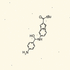 CC(C)(C)C(=O)c1cc2cc(NC(O)c3ccc(N)cc3)ccn2c1